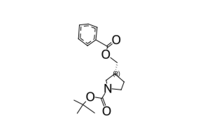 CC(C)(C)OC(=O)N1CC[C@@H](COC(=O)c2ccccc2)C1